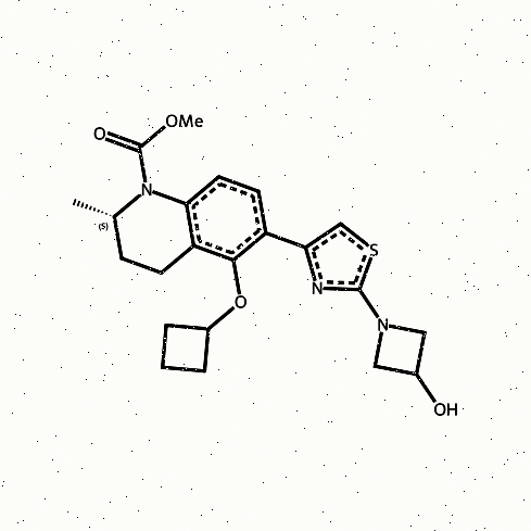 COC(=O)N1c2ccc(-c3csc(N4CC(O)C4)n3)c(OC3CCC3)c2CC[C@@H]1C